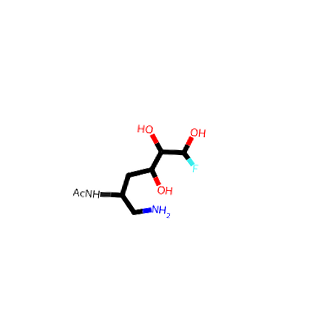 CC(=O)NC(CN)CC(O)C(O)C(O)F